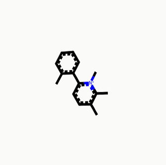 Cc1ccccc1-c1ccc(C)c(C)[n+]1C